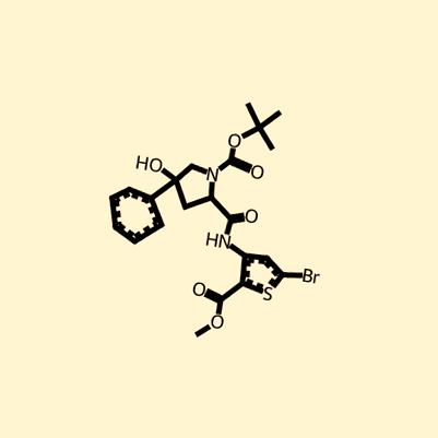 COC(=O)c1sc(Br)cc1NC(=O)C1CC(O)(c2ccccc2)CN1C(=O)OC(C)(C)C